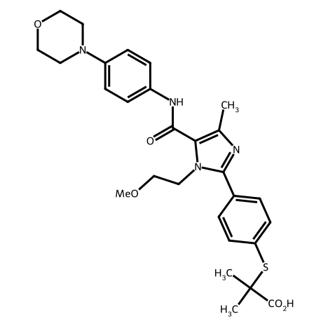 COCCn1c(-c2ccc(SC(C)(C)C(=O)O)cc2)nc(C)c1C(=O)Nc1ccc(N2CCOCC2)cc1